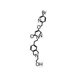 O=c1cc(OCc2ccc(Br)cn2)cnn1CCc1ccc2c(c1)CN(CCO)C2